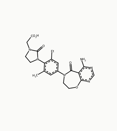 CCc1cc(N2CCOc3ncnc(N)c3C2=O)cc(C)c1N1CCN(CC(=O)O)C1=O